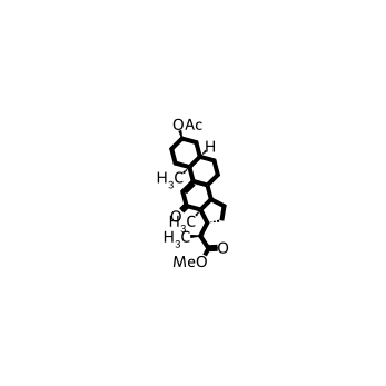 COC(=O)[C@@H](C)[C@H]1CCC2C3CC[C@@H]4C[C@H](OC(C)=O)CC[C@]4(C)C3=CC(=O)[C@@]21C